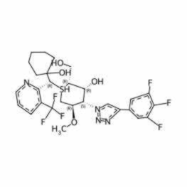 CO[C@H]1C[SH]([C@H](c2ncccc2C(F)(F)F)C2(O)CCCCC2)[C@H](CO)[C@H](O)[C@@H]1n1cc(-c2cc(F)c(F)c(F)c2)nn1